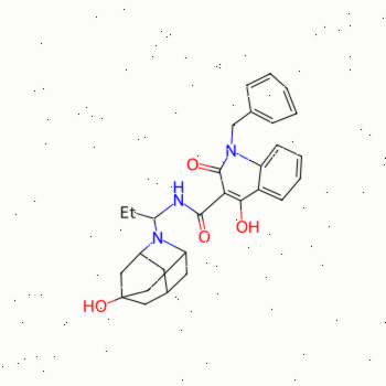 CCC(NC(=O)c1c(O)c2ccccc2n(Cc2ccccc2)c1=O)N1C2CC3CC1CC(O)(C3)C2